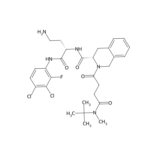 CN(C(=O)CCC(=O)N1Cc2ccccc2C[C@H]1C(=O)N[C@@H](CCN)C(=O)Nc1ccc(Cl)c(Cl)c1F)C(C)(C)C